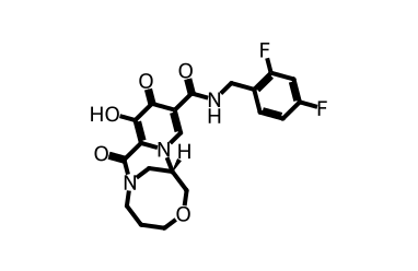 O=C(NCc1ccc(F)cc1F)c1cn2c(c(O)c1=O)C(=O)N1CCCOC[C@@H]2C1